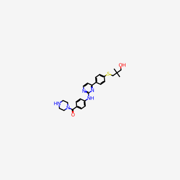 CC(C)(CO)CSc1ccc(-c2ccnc(Nc3ccc(C(=O)N4CCNCC4)cc3)n2)cc1